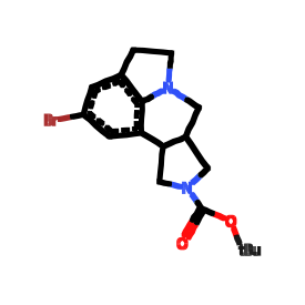 CC(C)(C)OC(=O)N1CC2CN3CCc4cc(Br)cc(c43)C2C1